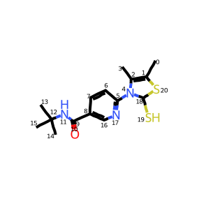 CC1=C(C)N(c2ccc(C(=O)NC(C)(C)C)cn2)C(S)S1